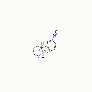 [C-]#[N+]c1ccc2c(c1)[C@H]1CCCN[C@H]1C2